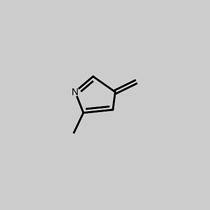 C=C1C=NC(C)=C1